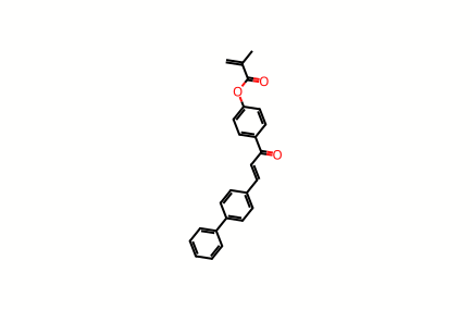 C=C(C)C(=O)Oc1ccc(C(=O)C=Cc2ccc(-c3ccccc3)cc2)cc1